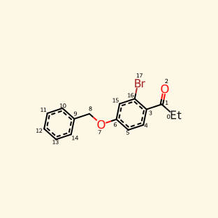 CCC(=O)c1ccc(OCc2ccccc2)cc1Br